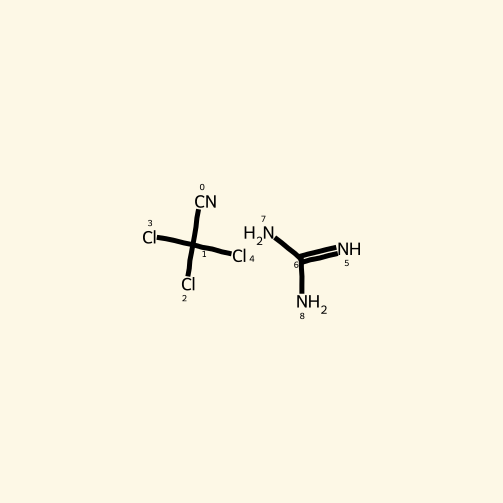 N#CC(Cl)(Cl)Cl.N=C(N)N